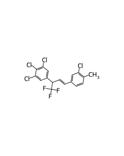 Cc1ccc(/C=C/C(c2cc(Cl)c(Cl)c(Cl)c2)C(F)(F)F)cc1Cl